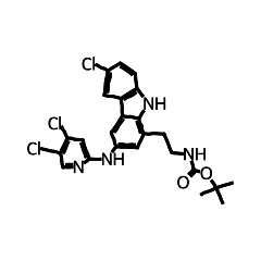 CC(C)(C)OC(=O)NCCc1cc(Nc2cc(Cl)c(Cl)cn2)cc2c1[nH]c1ccc(Cl)cc12